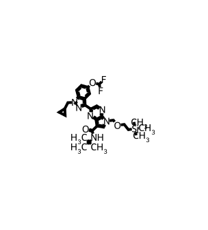 CC(C)(C)NC(=O)c1cn(COCC[Si](C)(C)C)c2ncc(-c3nn(CC4CC4)c4ccc(OC(F)F)cc34)nc12